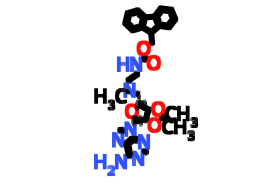 CN(CCNC(=O)OCC1c2ccccc2-c2ccccc21)C[C@H]1O[C@@H](n2cnc3c(N)ncnc32)C2OC(C)(C)OC21